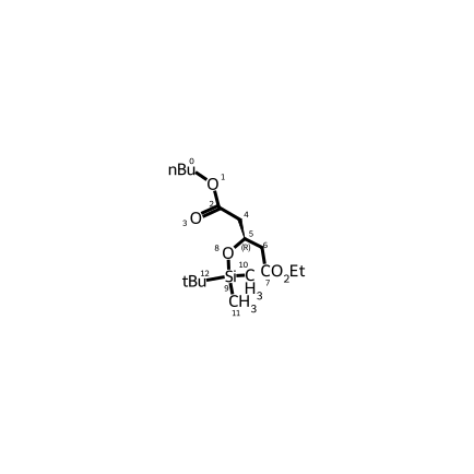 CCCCOC(=O)C[C@@H](CC(=O)OCC)O[Si](C)(C)C(C)(C)C